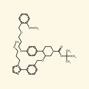 COCCCn1ccnc1-c1cccc(COC2CN(C(=O)OC(C)(C)C)CCC2c2ccc(OCCCOCc3ccccc3OC)cc2)c1